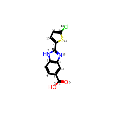 O=C(O)c1ccc2[nH]c(-c3ccc(Cl)s3)nc2c1